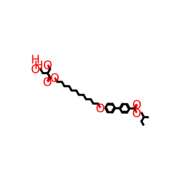 CCC(C)COC(=O)c1ccc(-c2ccc(OCCCCCCCCCCCCOC(=O)C(CO)CCO)cc2)cc1